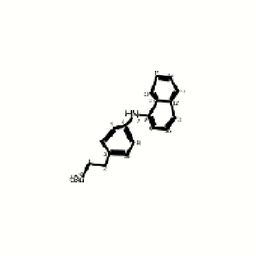 CC(C)(C)CCc1ccc(Nc2cccc3ccccc23)cc1